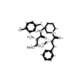 COC[C@H](N)C(=O)N[C@@]1(Cc2ccc(Cl)cc2)CCCN(C(=O)[C@@H](CC(=O)O)Cc2ccccc2)C1